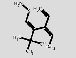 C=CC(=C/C)/C(=C\SN)C(C)(C)C